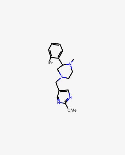 COc1ncc(CN2CCN(C)C(c3ccccc3C(C)C)C2)cn1